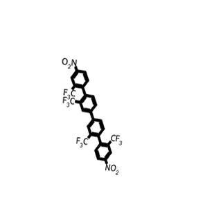 O=[N+]([O-])c1ccc(-c2ccc(-c3ccc(-c4ccc([N+](=O)[O-])cc4C(F)(F)F)c(C(F)(F)F)c3)cc2C(F)(F)F)c(C(F)(F)F)c1